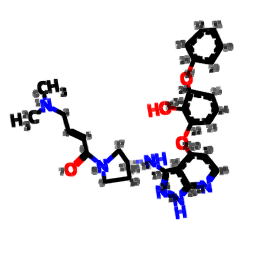 CN(C)CC=CC(=O)N1CC[C@@H](Nc2n[nH]c3nccc(Oc4cccc(Oc5ccccc5)c4O)c23)C1